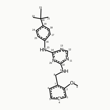 COc1ccccc1CNc1ncnc(Nc2ccc(C(C)(C)C)cc2)n1